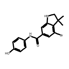 CC1(C)CNc2cc(C(=O)Nc3ccc(O)cc3)cc(Br)c21